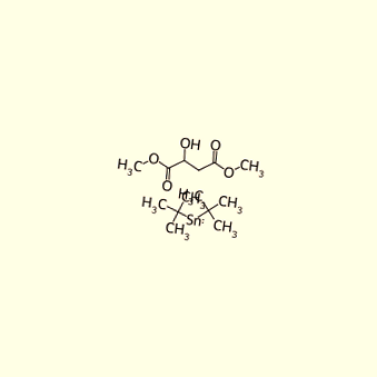 COC(=O)CC(O)C(=O)OC.C[C](C)(C)[Sn][C](C)(C)C